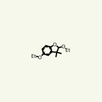 CCOc1ccc2c(c1)C(C)(C)C(OCC)O2